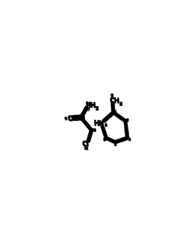 CC1CCCCN1.NC(=O)CCl